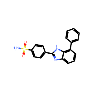 NS(=O)(=O)c1ccc(-c2nc3cccc(-c4ccccc4)c3[nH]2)cc1